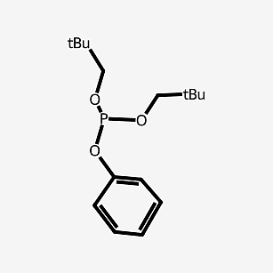 CC(C)(C)COP(OCC(C)(C)C)Oc1ccccc1